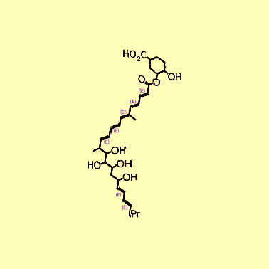 CC(/C=C/C=C/C(=O)OC1CC(C(=O)O)CCC1O)=C\C=C\C=C\C(C)C(O)C(O)C(O)CC(O)/C=C/C=C/C(C)C